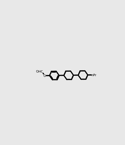 CCCC1CCC(C2CCC(c3ccc(OC=O)cc3)CC2)CC1